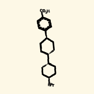 CCC[C@H]1CC[C@H]([C@H]2CC[C@H](c3ccc(C(=O)O)cc3)CC2)CC1